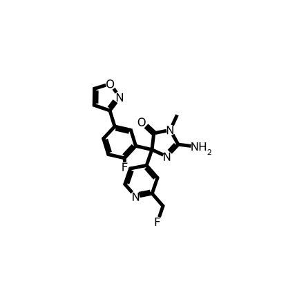 CN1C(=O)C(c2ccnc(CF)c2)(c2cc(-c3ccon3)ccc2F)N=C1N